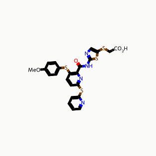 COc1ccc(Sc2ccc(Sc3ccccn3)nc2C(=O)Nc2ncc(SCC(=O)O)s2)cc1